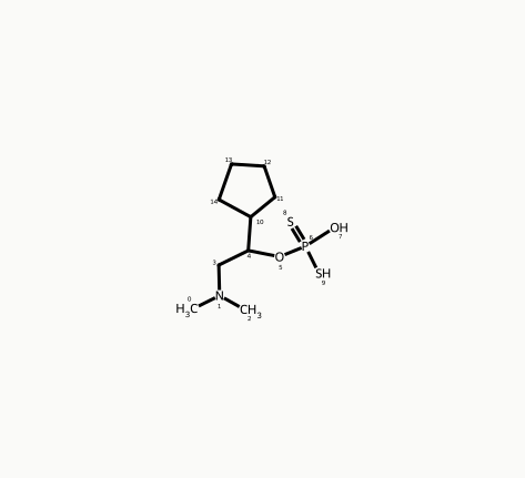 CN(C)CC(OP(O)(=S)S)C1CCCC1